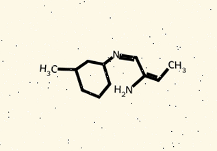 C/C=C(N)\C=N/C1CCCC(C)C1